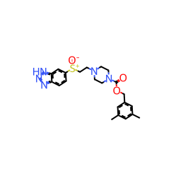 Cc1cc(C)cc(COC(=O)N2CCN(CC[S@@+]([O-])c3ccc4nn[nH]c4c3)CC2)c1